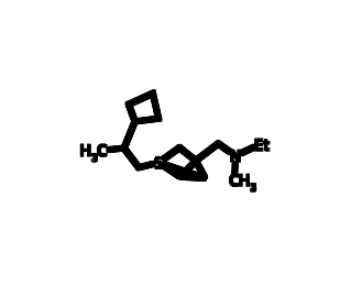 CCN(C)CC12CS3(CC(C)C4CCC4)C1C23